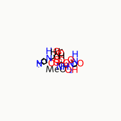 CO[C@H]1[C@@H](O)[C@H](n2ccc(=O)[nH]c2=O)O[C@@H]1[C@@H](O[C@H]1OC(C(=O)Nc2ccc(N(C)C)cc2)=C[C@@H]2OC(C)(C)O[C@H]12)C(N)=O